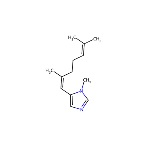 CC(C)=CCCC(C)=Cc1cncn1C